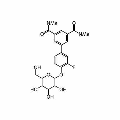 CNC(=O)c1cc(C(=O)NC)cc(-c2ccc(OC3OC(CO)C(O)C(O)C3O)c(F)c2)c1